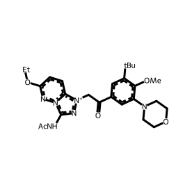 CCOc1ccc2n(n1)c(NC(C)=O)n[n+]2CC(=O)c1cc(N2CCOCC2)c(OC)c(C(C)(C)C)c1